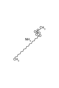 CCCCCCCCCCCCCCCCCC(=O)OS(=O)(=O)OCC.N